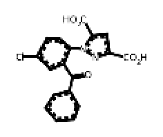 O=C(O)c1cc(C(=O)O)n(-c2ccc(Cl)cc2C(=O)c2ccccc2)n1